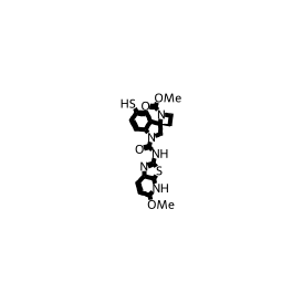 COC(=O)N1CC[C@]12CN(C(=O)NC1=NC3C=CC(OC)NC3S1)C1C=CC(S)=CC12